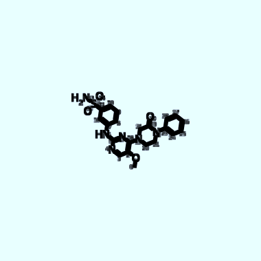 COc1cnc(Nc2cccc(S(N)(=O)=O)c2)nc1N1CCN(c2ccccc2)C(=O)C1